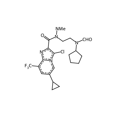 CNN(CCN(C=O)C1CCCC1)C(=O)c1nc2c(C(F)(F)F)cc(C3CC3)cn2c1Cl